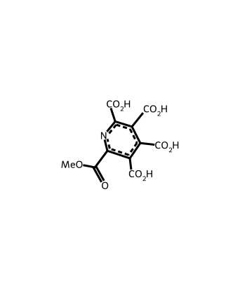 COC(=O)c1nc(C(=O)O)c(C(=O)O)c(C(=O)O)c1C(=O)O